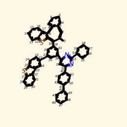 CC1=C=c2ccccc2=c2c(sc3ccccc23)=C1c1cc(-c2ccc3sc4ccccc4c3c2)cc(-c2cc(-c3ccc(-c4ccccc4)cc3)nc(-c3ccccc3)n2)c1